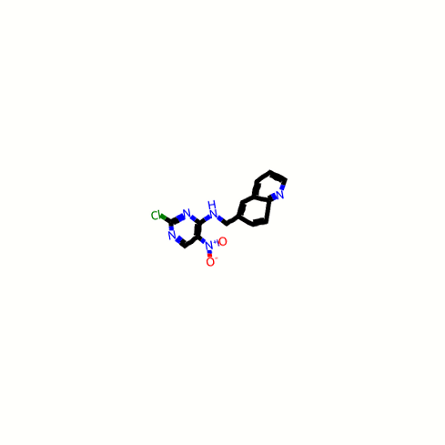 O=[N+]([O-])c1cnc(Cl)nc1NCc1ccc2ncccc2c1